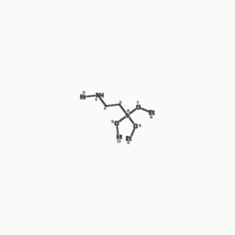 CCNCC[Si](OCC)(OCC)OCC